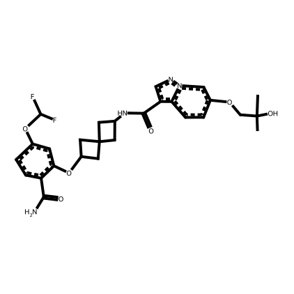 CC(C)(O)COc1ccc2c(C(=O)NC3CC4(C3)CC(Oc3cc(OC(F)F)ccc3C(N)=O)C4)cnn2c1